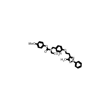 COc1ccc(OC(=O)N(CC(=O)O)Cc2ccc(OCCc3nn(-c4ccccc4)nc3C)cc2)cc1